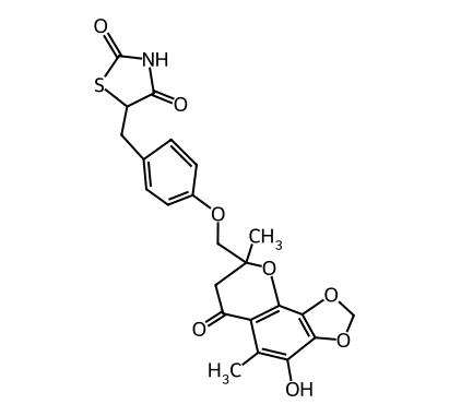 Cc1c(O)c2c(c3c1C(=O)CC(C)(COc1ccc(CC4SC(=O)NC4=O)cc1)O3)OCO2